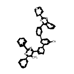 Cc1c(-c2ccccc2)nc(-c2ccccc2)nc1-c1cccc(-c2cc(C#N)cc(-c3cccc(-c4nc(-c5ccccc5)nc5ccccc45)c3)c2)c1